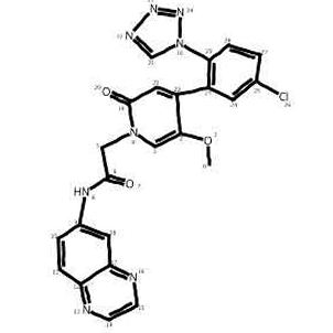 COc1cn(CC(=O)Nc2ccc3nccnc3c2)c(=O)cc1-c1cc(Cl)ccc1-n1cnnn1